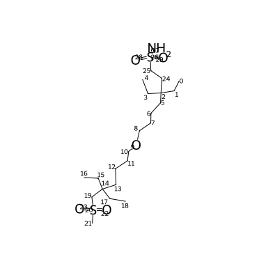 CCC(CC)(CCCCOCCCCC(CC)(CC)CS(C)(=O)=O)CCS(N)(=O)=O